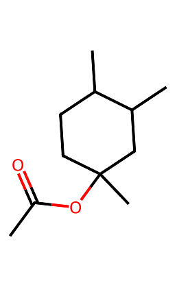 CC(=O)OC1(C)CCC(C)C(C)C1